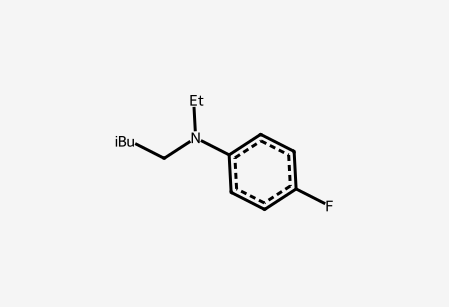 CCC(C)CN(CC)c1ccc(F)cc1